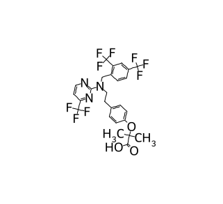 CC(C)(Oc1ccc(CCN(Cc2ccc(C(F)(F)F)cc2C(F)(F)F)c2nccc(C(F)(F)F)n2)cc1)C(=O)O